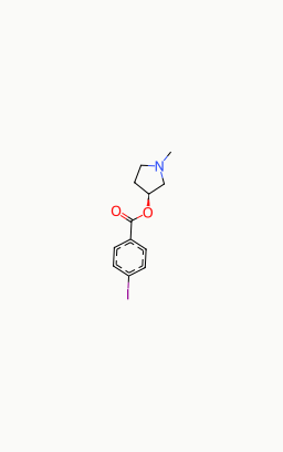 CN1CC[C@H](OC(=O)c2ccc(I)cc2)C1